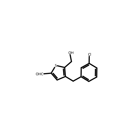 O=Cc1cc(Cc2cccc(Cl)c2)c(CO)s1